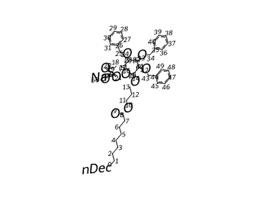 CCCCCCCCCCCCCCCCCC(=O)OCCCO[C@H]1O[C@H](CS(=O)(=O)[O-])[C@@H](OCc2ccccc2)[C@H](OCc2ccccc2)[C@H]1OCc1ccccc1.[Na+]